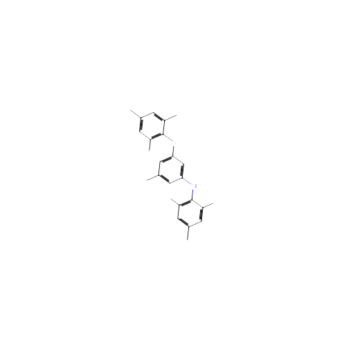 CCc1cc(C)cc(C)c1Nc1cc(C)cc(Nc2c(CC)cc(C)cc2CC)c1